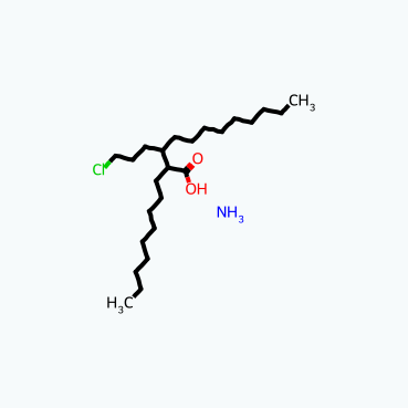 CCCCCCCCCC(CCCCl)C(CCCCCCCCC)C(=O)O.N